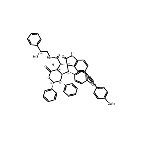 COc1ccc(C#Cc2ccc3c(c2)[C@@]2(C(=O)N3)C(C(=O)NC[C@H](O)c3ccccc3)[C@@H]3C(=O)O[C@@H](c4ccccc4)[C@@H](c4ccccc4)N3[C@H]2c2ccc(O)cc2)cc1